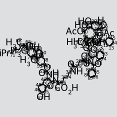 CC(=O)O[C@@H]1C(=O)[C@]2(C)C([C@@H](OC(=O)c3ccccc3)[C@]3(O)C[C@@H](OC(=O)[C@@H](OC(=O)CCC(=O)NCCCC[C@@H](NC(=O)[C@@H](Cc4ccc(O)cc4)NC(=O)O[C@H]4CC[C@@]5(C)C(=CC[C@H]6[C@@H]7CC[C@H]([C@H](C)CCCC(C)C)[C@@]7(C)CC[C@@H]65)C4)C(=O)O)[C@H](NC(=O)c4ccccc4)c4ccccc4)C(C)=C1C3(C)C)[C@@]1(OC(C)=O)CO[C@H]1C[C@H]2O